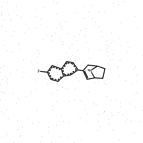 CN1C2C=C(c3ccc4cc(F)ccc4c3)CC1CC2